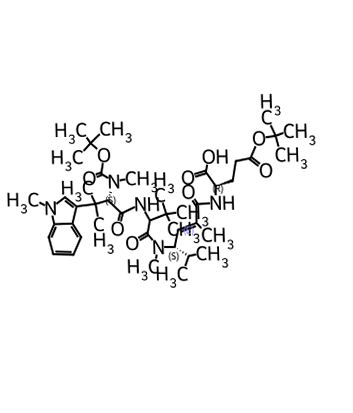 C/C(=C\[C@H](C(C)C)N(C)C(=O)C(NC(=O)[C@@H](N(C)C(=O)OC(C)(C)C)C(C)(C)c1cn(C)c2ccccc12)C(C)(C)C)C(=O)N[C@H](CCC(=O)OC(C)(C)C)C(=O)O